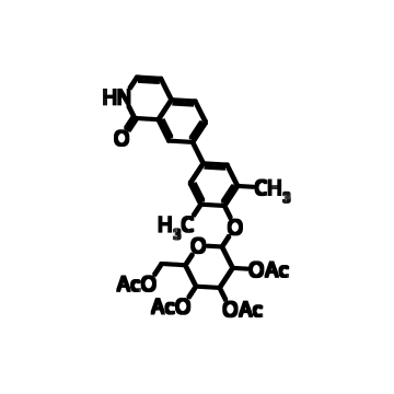 CC(=O)OCC1OC(Oc2c(C)cc(-c3ccc4cc[nH]c(=O)c4c3)cc2C)C(OC(C)=O)C(OC(C)=O)C1OC(C)=O